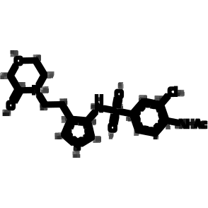 CC(=O)Nc1ccc(S(=O)(=O)Nc2cscc2CCN2CCOCC2=O)cc1Cl